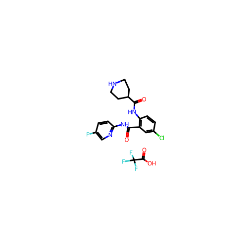 O=C(Nc1ccc(F)cn1)c1cc(Cl)ccc1NC(=O)C1CCNCC1.O=C(O)C(F)(F)F